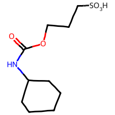 O=C(NC1CCCCC1)OCCCS(=O)(=O)O